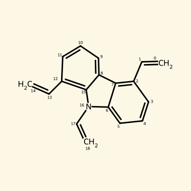 C=Cc1cccc2c1c1cccc(C=C)c1n2C=C